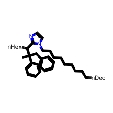 CCCCCCCCCCCCCCCCCCCn1ccnc1C(CCCCCC)C(C)(Cc1ccccc1)c1ccccc1